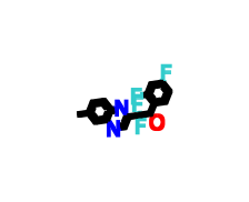 Cc1ccc2nc(C(F)(F)C(=O)c3ccc(F)cc3F)cnc2c1